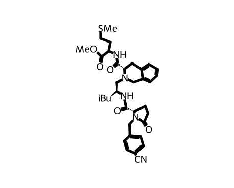 CC[C@H](C)[C@@H](CN1Cc2ccccc2C[C@H]1C(=O)NC(CCSC)C(=O)OC)NC(=O)[C@@H]1CCC(=O)N1Cc1ccc(C#N)cc1